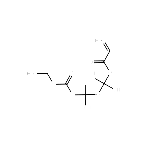 C=CC(=O)OC(C)(C)OC(C)(C)OC(=O)OCC